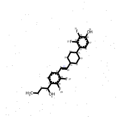 CCCC(O)c1ccc(/C=C/C2CCC(c3ccc(O)c(F)c3F)CC2)c(F)c1F